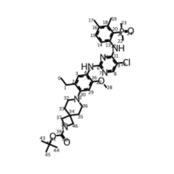 CCc1cc(Nc2ncc(Cl)c(Nc3ccc(C)c(C)c3P(C)(C)=O)n2)c(OC)cc1N1CCC2(CC1)CN(C(=O)OC(C)(C)C)C2